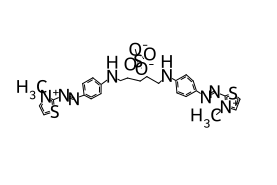 C[n+]1ccsc1/N=N/c1ccc(NCCCCCNc2ccc(/N=N/c3scc[n+]3C)cc2)cc1.O=S(=O)([O-])[O-]